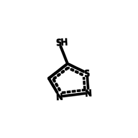 Sc1cnns1